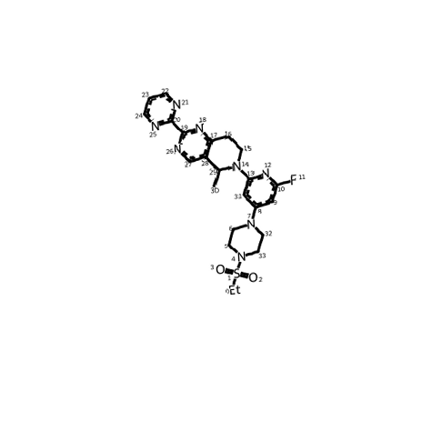 CCS(=O)(=O)N1CCN(c2cc(F)nc(N3CCc4nc(-c5ncccn5)ncc4C3C)c2)CC1